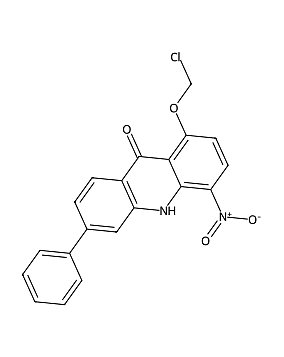 O=c1c2ccc(-c3ccccc3)cc2[nH]c2c([N+](=O)[O-])ccc(OCCl)c12